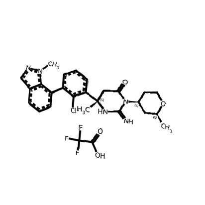 C[C@H]1C[C@@H](N2C(=N)N[C@](C)(c3cccc(-c4cccc5cnn(C)c45)c3Cl)CC2=O)CCO1.O=C(O)C(F)(F)F